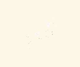 CC(=O)N(Cc1cc(C(F)(F)F)cc(C(F)(F)F)c1)[C@H]1CCCN(C(=O)OC(C)C)c2c1ccc1c2CCC1